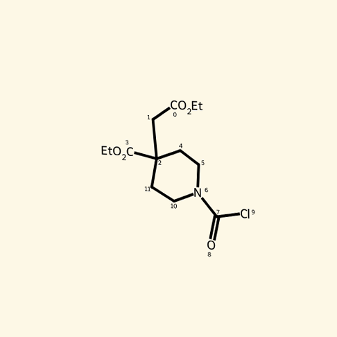 CCOC(=O)CC1(C(=O)OCC)CCN(C(=O)Cl)CC1